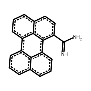 N=C(N)c1ccc2cccc3c4cccc5cccc(c1c23)c54